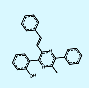 Cc1nc(-c2ccccc2O)c(C=Cc2ccccc2)nc1-c1ccccc1